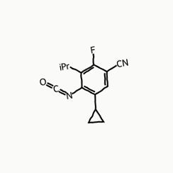 CC(C)c1c(F)c(C#N)cc(C2CC2)c1N=C=O